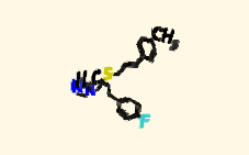 Cc1ccc(/C=C/CSC(C)(CCc2ccc(F)cc2)Cn2ccnc2)cc1